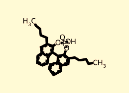 CCCCCc1cc2ccccc2c2c1OP(=O)(O)Oc1c(CCCCC)cc3ccccc3c1-2